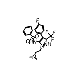 CN(C)CCN1NC(C(F)(F)F)C(c2ccc(F)cc2)=C1NS(=O)(=O)c1ccccc1